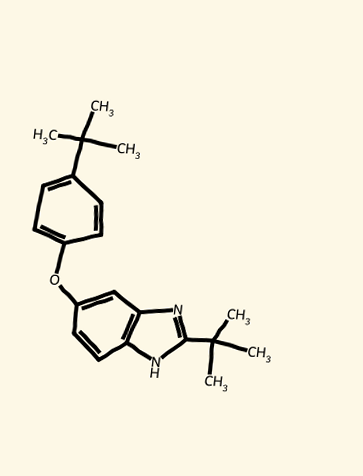 CC(C)(C)c1ccc(Oc2ccc3[nH]c(C(C)(C)C)nc3c2)cc1